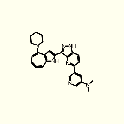 CN(C)c1cncc(-c2ccc3[nH]nc(-c4cc5c([nH]4)C=C=CC=C5N4CCCCC4)c3n2)c1